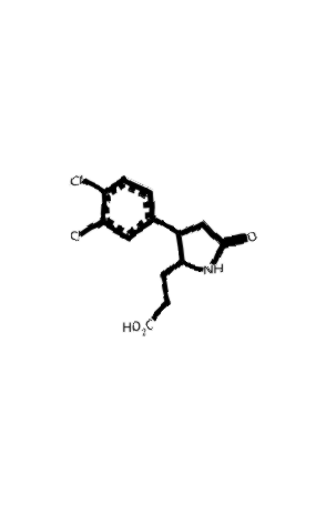 O=C(O)CCC1NC(=O)CC1c1ccc(Cl)c(Cl)c1